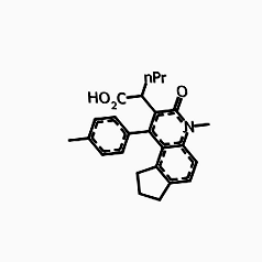 CCCC(C(=O)O)c1c(-c2ccc(C)cc2)c2c3c(ccc2n(C)c1=O)CCC3